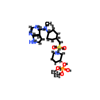 CCOP(=O)(OCC)O[C@@H]1CCCN(S(=O)(=O)CC2CCC(N(C)c3ncnc4c3CCN4)CC2)C1